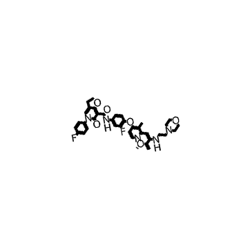 C=C(OC)/C(=C\c1nccc(Oc2ccc(NC(=O)c3c4c(cn(-c5ccc(F)cc5)c3=O)CCO4)cc2F)c1C)NCCN1CCOCC1